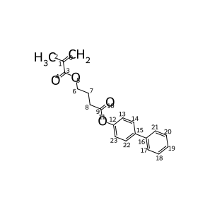 C=C(C)C(=O)OCCCC(=O)Oc1ccc(-c2ccccc2)cc1